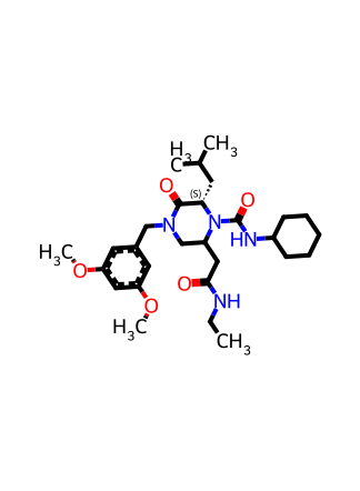 CCNC(=O)CC1CN(Cc2cc(OC)cc(OC)c2)C(=O)[C@H](CC(C)C)N1C(=O)NC1CCCCC1